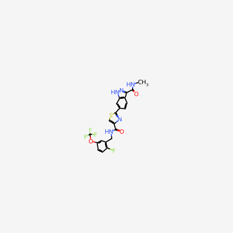 CNC(=O)c1n[nH]c2cc(-c3nc(C(=O)NCc4cc(OC(F)(F)F)ccc4F)cs3)ccc12